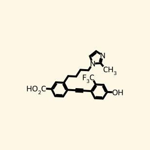 Cc1nccn1CCCCc1cc(C(=O)O)ccc1C#Cc1ccc(O)cc1C(F)(F)F